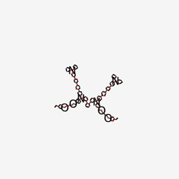 C=Cc1ccc(OCCCCOCc2ccc(N(c3ccc(-c4ccc(-c5ccc(-c6ccc(N(c7ccccc7)c7ccccc7)cc6)cc5)cc4)cc3)c3cccc(-c4ccccc4-c4cccc(N(c5ccc(COCCCCOc6ccc(C=C)cc6)cc5)c5ccc(-c6ccc(-c7ccc(-c8ccc(N(c9ccccc9)c9ccccc9)cc8)cc7)cc6)cc5)c4)c3)cc2)cc1